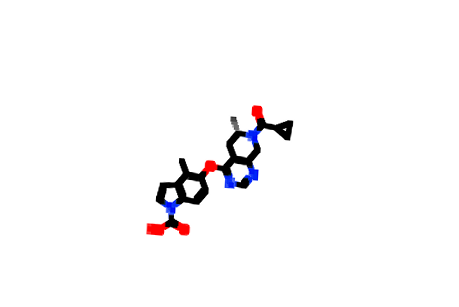 Cc1c(Oc2ncnc3c2C[C@H](C)N(C(=O)C2CC2)C3)ccc2c1ccn2C(=O)O